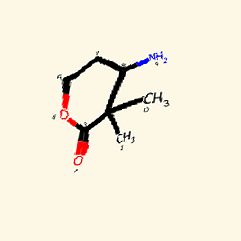 CC1(C)C(=O)OCCC1N